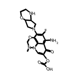 CN1COc2c(N3CC4NCCOC4C3)c(F)c(N)c3c(=O)c(OC(=O)O)cn1c23